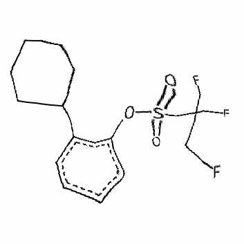 O=S(=O)(Oc1ccccc1C1CCCCC1)C(F)(F)CF